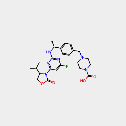 CC(C)C1COC(=O)N1c1cc(F)nc(N[C@@H](C)c2ccc(CN3CCN(C(=O)O)CC3)cc2)n1